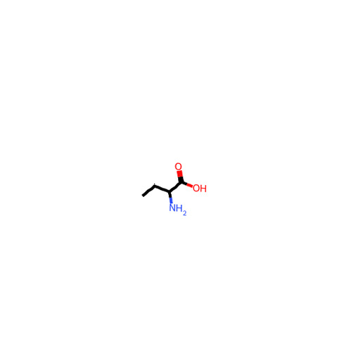 C[CH]C(N)C(=O)O